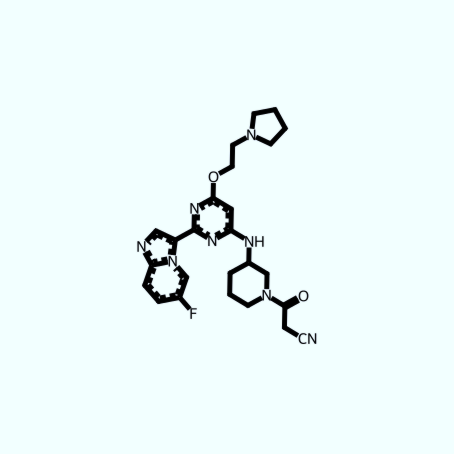 N#CCC(=O)N1CCCC(Nc2cc(OCCN3CCCC3)nc(-c3cnc4ccc(F)cn34)n2)C1